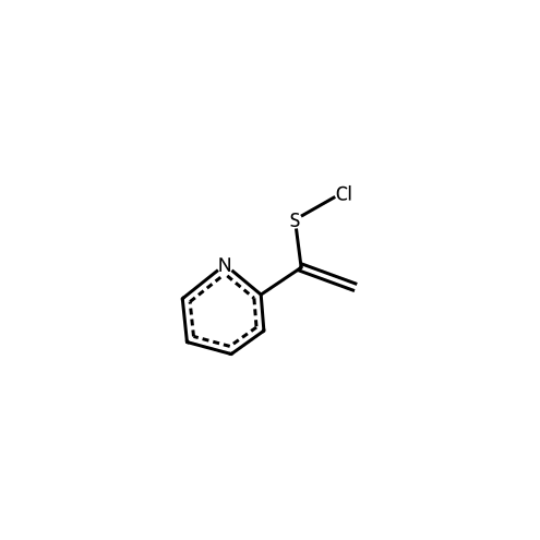 C=C(SCl)c1ccccn1